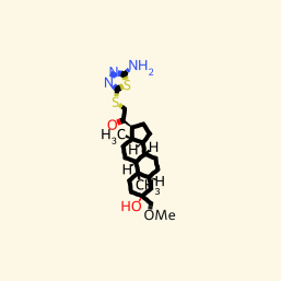 COC[C@@]1(O)CC[C@@]2(C)[C@@H](CC[C@@H]3[C@@H]2CC[C@]2(C)[C@@H](C(=O)CSc4nnc(N)s4)CC[C@@H]32)C1